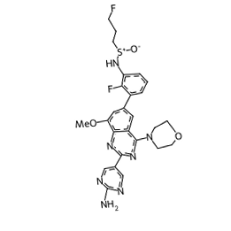 COc1cc(-c2cccc(N[S+]([O-])CCCF)c2F)cc2c(N3CCOCC3)nc(-c3cnc(N)nc3)nc12